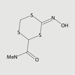 CNC(=O)C1SCSC(=NO)S1